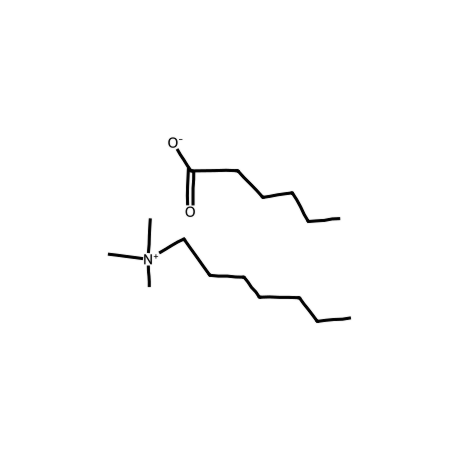 CCCCCC(=O)[O-].CCCCCCC[N+](C)(C)C